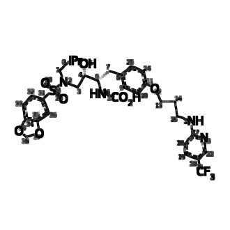 CC(C)CN(C[C@H](O)[C@H](Cc1ccc(OCCCNc2ccc(C(F)(F)F)cn2)cc1)NC(=O)O)S(=O)(=O)c1ccc2c(c1)OCO2